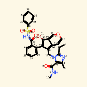 CCc1nc(C)c(C(=O)NC)n1Cc1c2ccocc-2c(Br)c1-c1ccccc1C(=O)NS(=O)(=O)c1ccccc1